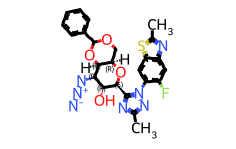 Cc1nc([C@@H]2O[C@@H]3COC(c4ccccc4)O[C@@H]3[C@H](N=[N+]=[N-])[C@H]2O)n(-c2cc3sc(C)nc3cc2F)n1